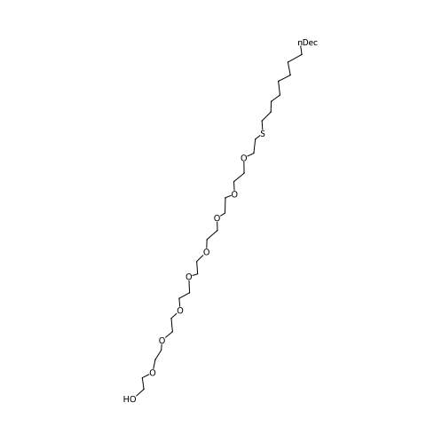 CCCCCCCCCCCCCCCCCCSCCOCCOCCOCCOCCOCCOCCOCCOCCO